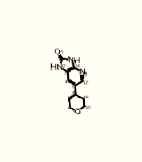 O=c1[nH]c2cc(C3CCOCC3)cnc2[nH]1